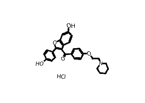 Cl.O=C(c1ccc(OCCN2CCCCC2)cc1)c1c(-c2ccc(O)cc2)oc2cc(O)ccc12